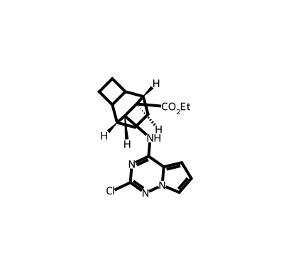 CCOC(=O)[C@H]1[C@H](Nc2nc(Cl)nn3cccc23)[C@@H]2CC[C@H]1C1CCC12